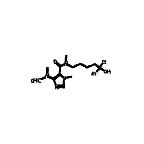 CCC(O)(CC)CCCCN(C)C(=O)c1c(N(C)C=O)ncn1C